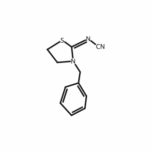 N#C/N=C1/SCCN1Cc1ccccc1